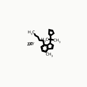 CCCCCc1ccc(C)c2c1C(C(C)(C)C1=CC=CC1)C=C2.[Cl-].[Cl-].[Zr+2]